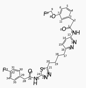 O=C(Cc1cccc(OCF)c1)Nc1ccc(CCCCc2nnc(NC(=O)Cc3ccc(F)cc3)s2)nn1